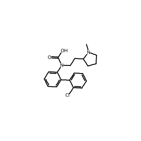 CN1CCCC1CCN(C(=O)O)c1ccccc1-c1ccccc1Cl